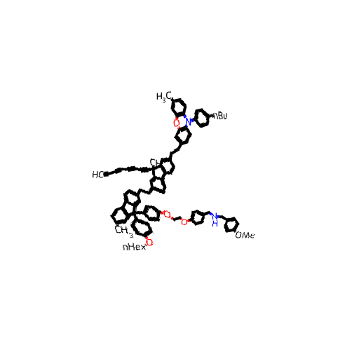 C#CC#CC#CC#CC1(C)c2cc(CCc3ccc4c(c3)Oc3cc(C)ccc3N4c3ccc(CCCC)cc3)ccc2-c2ccc(CCc3ccc4c(c3)C(c3ccc(OCCCCCC)cc3)(c3ccc(OCCOc5ccc(CNCc6ccc(OC)cc6)cc5)cc3)c3cc(C)ccc3-4)cc21